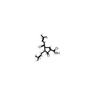 CCC(C)C(=O)C1=CC(C(=O)CC=C(C)C)C(CC=C(C)C)C1=O